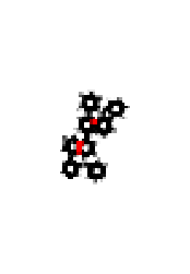 c1ccc(-c2ccccc2N(c2ccccc2)c2ccc(-c3ccc(-c4ccccc4-n4c5ccccc5c5ccccc54)cc3)cc2)cc1